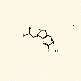 O=C(O)c1cc2c(cn1)cnn2CC(F)F